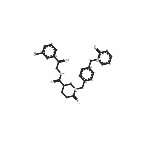 N=C(CNC(=O)C1CCC(=O)N(Cc2ccc(Cn3ccccc3=O)cc2)C1)c1cccc(Cl)c1